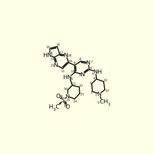 CN1CCC(Nc2ncc(-c3cnc4[nH]ccc4n3)c(NC3CCCN(S(C)(=O)=O)C3)n2)CC1